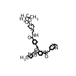 Cn1ccc(CS(=O)(=O)c2ccc(C(=O)NCc3ccn4ccnc4c3)cc2C#Cc2ccc(C(=O)NCCN3CCN(C(=O)OC(C)(C)C)CC3)cc2)n1